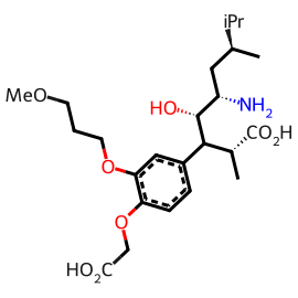 COCCCOc1cc(C([C@@H](C)C(=O)O)[C@H](O)[C@@H](N)C[C@H](C)C(C)C)ccc1OCC(=O)O